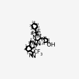 C#Cc1cccc(C2(C(F)(F)F)N=N2)c1Cn1nc2nc(C(F)(F)c3ccccc3)nc(N3CC[C@H](O)C3)c2n1